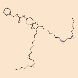 CCCCC/C=C\C/C=C\CCCCCCCC1OC2(CCC(N(C)C(=O)OCc3ccccc3)CC2)OC1CCCCCCC/C=C\C/C=C\CCCCC